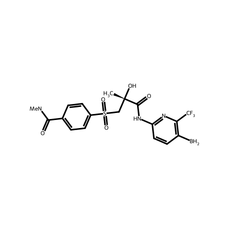 Bc1ccc(NC(=O)[C@@](C)(O)CS(=O)(=O)c2ccc(C(=O)NC)cc2)nc1C(F)(F)F